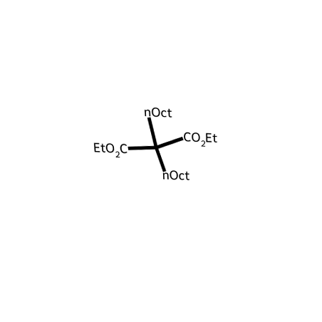 CCCCCCCCC(CCCCCCCC)(C(=O)OCC)C(=O)OCC